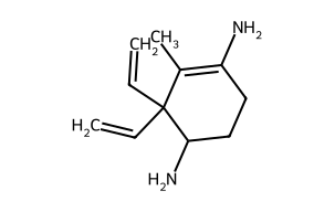 C=CC1(C=C)C(C)=C(N)CCC1N